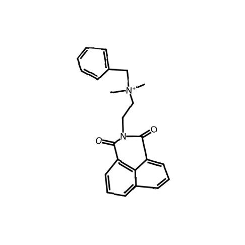 C[N+](C)(CCN1C(=O)c2cccc3cccc(c23)C1=O)Cc1ccccc1